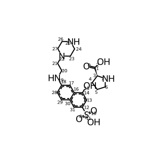 O=C(O)[C@@H]1CCCN1.O=S(=O)(O)c1cc(O)c2cc(NCCN3CCNCC3)ccc2c1